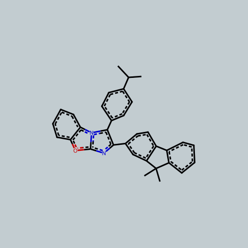 CC(C)c1ccc(-c2c(-c3ccc4c(c3)C(C)(C)c3ccccc3-4)nc3oc4ccccc4n23)cc1